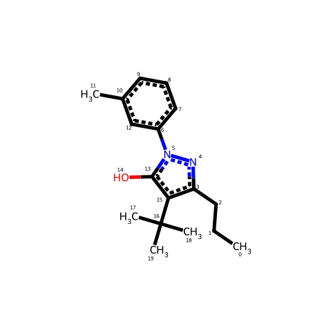 CCCc1nn(-c2cccc(C)c2)c(O)c1C(C)(C)C